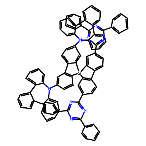 c1ccc(-c2nc(-c3ccccc3)nc(-c3ccc4c(c3)[Si]3(c5ccc(N6c7ccccc7-c7ccccc7-c7ccccc76)cc5-c5ccc(N6c7ccccc7-c7ccccc7-c7ccccc76)cc53)c3cc(-c5nc(-c6ccccc6)nc(-c6ccccc6)n5)ccc3-4)n2)cc1